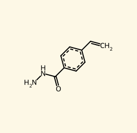 C=Cc1ccc(C(=O)NN)cc1